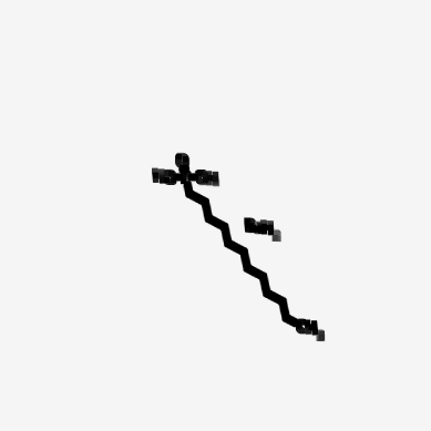 CCCCCCCCCCCCP(=O)(O)O.[BaH2]